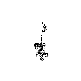 C[C@H]1OC(C)(C)O[C@H]1[C@H](CO[C@H]1OC(CF)[C@@H](OCc2ccccc2)[C@H](OCc2ccccc2)C1OCc1ccccc1)NC(=O)CCCCCCCCCCc1ccc(Oc2ccc(F)cc2)cc1